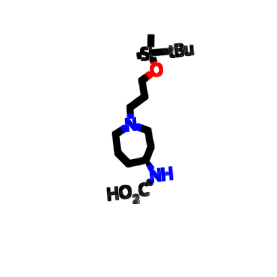 CC(C)(C)[Si](C)(C)OCCCN1CCC[C@H](NC(=O)O)CC1